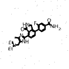 CCN(CC)Cc1[nH]c(-c2ccc(-c3ccc(C(N)=O)cc3F)c3c2C(=O)NC3)nc1C